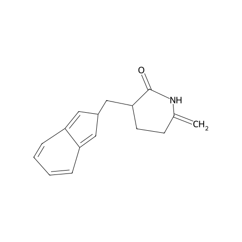 C=C1CCC(CC2C=c3ccccc3=C2)C(=O)N1